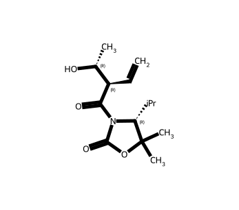 C=C[C@@H](C(=O)N1C(=O)OC(C)(C)[C@H]1C(C)C)[C@@H](C)O